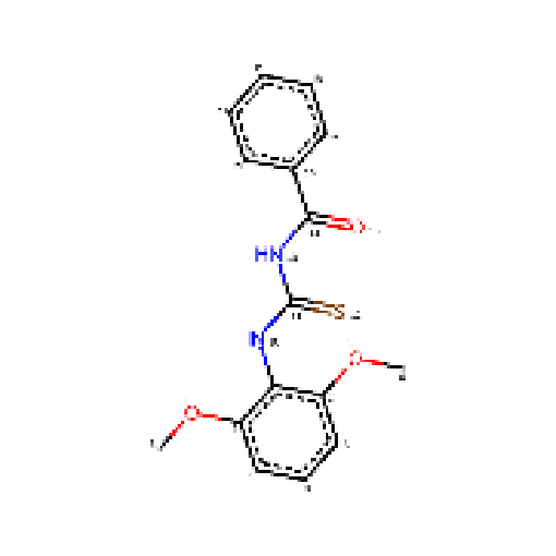 COc1cccc(OC)c1NC(=S)NC(=O)c1ccccc1